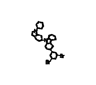 Brc1cc(Br)cc(-c2ccc3c(c2)c2ccccc2n3-c2ccc3ccn(-c4ccccc4)c3c2)c1